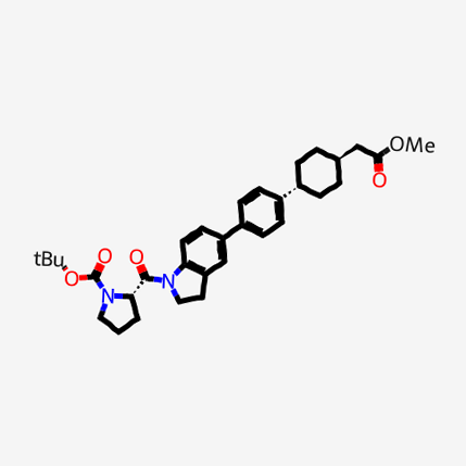 COC(=O)C[C@H]1CC[C@H](c2ccc(-c3ccc4c(c3)CCN4C(=O)[C@@H]3CCCN3C(=O)OC(C)(C)C)cc2)CC1